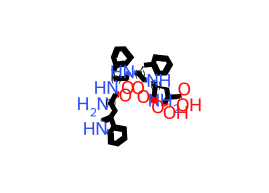 NC(=O)[C@H](CC(C(=O)O)C(=O)O)NC(=O)[C@@H](Cc1ccccc1)NC(=O)[C@@H](Cc1ccccc1)NC(=O)[C@H](N)Cc1c[nH]c2ccccc12